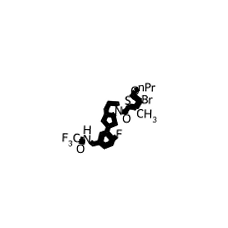 CCCOc1sc(C(=O)N2CCCC3CC(c4cc(CNC(=O)C(F)(F)F)ccc4F)CC32)c(C)c1Br